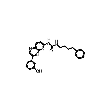 O=C(NCCCCc1ccccc1)Nc1ccc2ncc(-c3cccc(O)c3)nc2n1